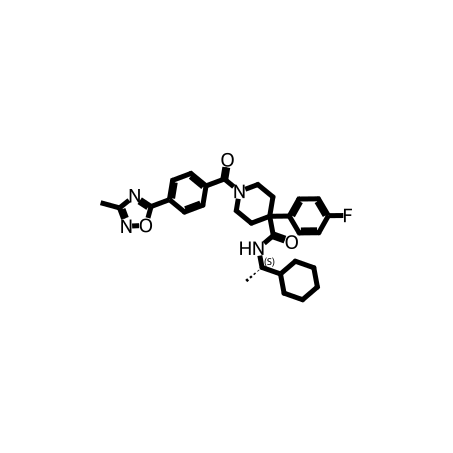 Cc1noc(-c2ccc(C(=O)N3CCC(C(=O)N[C@@H](C)C4CCCCC4)(c4ccc(F)cc4)CC3)cc2)n1